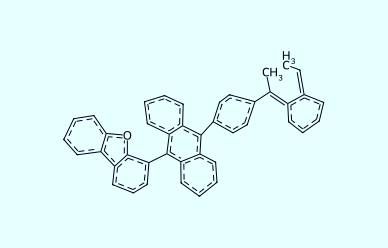 C/C=c1/cccc/c1=C(/C)c1ccc(-c2c3ccccc3c(-c3cccc4c3oc3ccccc34)c3ccccc23)cc1